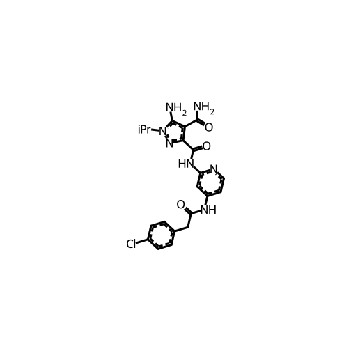 CC(C)n1nc(C(=O)Nc2cc(NC(=O)Cc3ccc(Cl)cc3)ccn2)c(C(N)=O)c1N